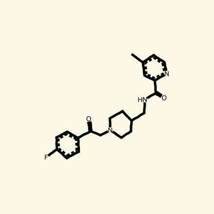 Cc1ccnc(C(=O)NCC2CCN(CC(=O)c3ccc(F)cc3)CC2)c1